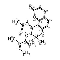 C/C=C(/C)C(=O)O[C@@H]1[C@@H](OC(C)=O)c2c(ccc3ccc(=O)oc23)OC1(C)C